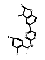 C[C@@H](Nc1ncc(-c2ccc3oc(=O)n(C)c3c2)nn1)c1ccc(F)cc1F